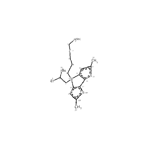 CCCCCCCCCCCCCCC[Si]1(CC(CC)CCCC)c2cc(C)sc2-c2sc(C)cc21